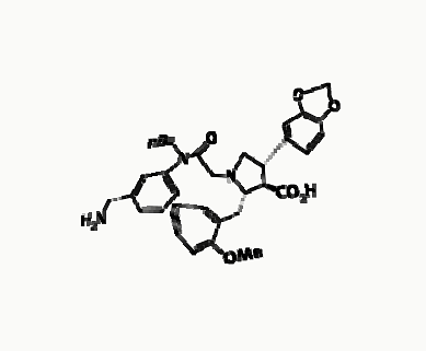 CCCCN(C(=O)CN1C[C@H](c2ccc3c(c2)OCO3)[C@@H](C(=O)O)[C@@H]1Cc1ccccc1OC)c1cccc(CN)c1